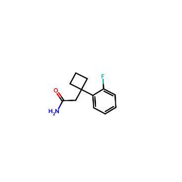 NC(=O)CC1(c2ccccc2F)CCC1